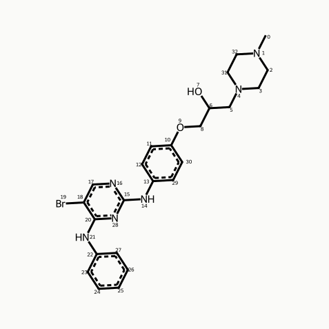 CN1CCN(CC(O)COc2ccc(Nc3ncc(Br)c(Nc4ccccc4)n3)cc2)CC1